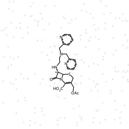 CC(=O)OCC1=C(C(=O)O)N2C(=O)[C@@H](NCCN(Cc3ccccn3)Cc3ccccn3)C2SC1